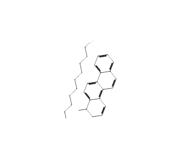 CCCCCCCCCCN.FC1CC=Cc2c1ccc1c2ccc2ccccc21